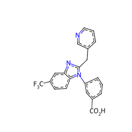 O=C(O)c1cccc(-n2c(Cc3cccnc3)nc3cc(C(F)(F)F)ccc32)c1